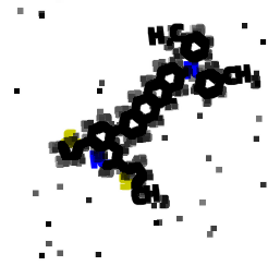 Cc1cccc(N(c2cccc(C)c2)c2ccc3cc4c(cc3c2)Cc2ccc(-c3ccc(-c5cccs5)c5ncc(-c6ccc(C)s6)cc35)cc2C4)c1